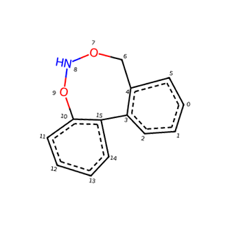 c1ccc2c(c1)CONOc1ccccc1-2